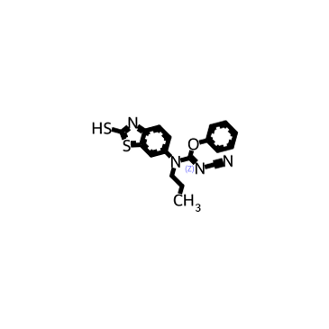 CCCN(/C(=N/C#N)Oc1ccccc1)c1ccc2nc(S)sc2c1